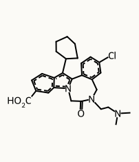 CN(C)CCN1Cc2cc(Cl)ccc2-c2c(C3CCCCC3)c3ccc(C(=O)O)cc3n2CC1=O